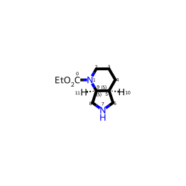 CCOC(=O)N1CCC[C@H]2CNC[C@H]21